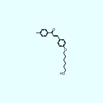 Cc1ccc(C(=O)/C=C/c2ccc(OCCCCCCO)cc2)cc1